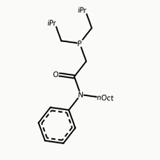 CCCCCCCCN(C(=O)CP(CC(C)C)CC(C)C)c1ccccc1